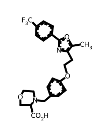 Cc1oc(-c2ccc(C(F)(F)F)cc2)nc1CCOc1ccc(CN2CCOCC2C(=O)O)cc1